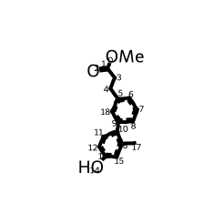 COC(=O)CCc1cccc(-c2ccc(O)cc2C)c1